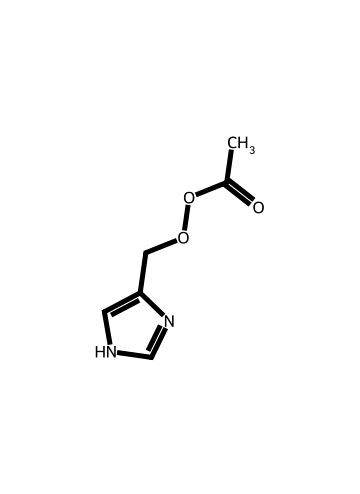 CC(=O)OOCc1c[nH]cn1